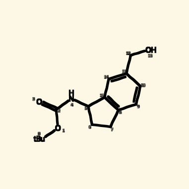 CC(C)(C)OC(=O)NC1CCc2ccc(CO)cc21